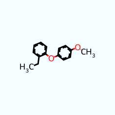 CCc1ccccc1Oc1ccc(OC)cc1